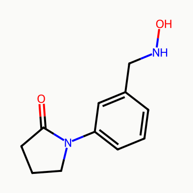 O=C1CCCN1c1cccc(CNO)c1